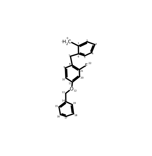 [CH2]c1ccccc1[CH]c1ccc(OCc2ccccc2)cc1F